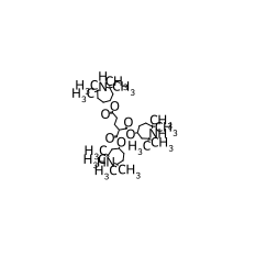 CC1(C)CCC(OC(=O)CCC(C(=O)OC2CCC(C)(C)NC(C)(C)C2)C(=O)OC2CCC(C)(C)NC(C)(C)C2)CC(C)(C)N1